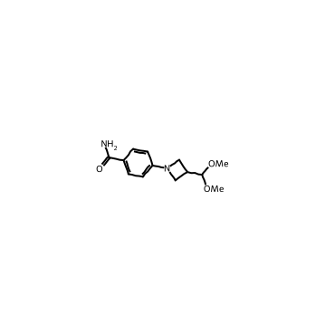 COC(OC)C1CN(c2ccc(C(N)=O)cc2)C1